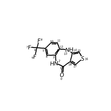 O=C1Nc2cc(C(F)(F)F)ccc2Nc2cscc21